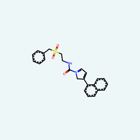 O=C(NCCS(=O)(=O)Cc1ccccc1)[N+]1=CC=C(c2cccc3ccccc23)C1